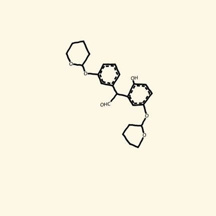 O=CC(c1cccc(OC2CCCCO2)c1)c1cc(OC2CCCCO2)ccc1O